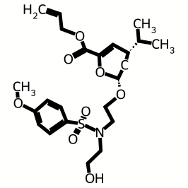 C=CCOC(=O)C1=C[C@H](C(C)C)C[C@H](OCCN(CCO)S(=O)(=O)c2ccc(OC)cc2)O1